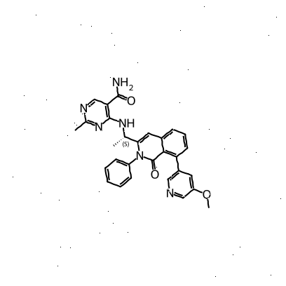 COc1cncc(-c2cccc3cc([C@H](C)Nc4nc(C)ncc4C(N)=O)n(-c4ccccc4)c(=O)c23)c1